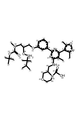 Cc1noc(C)c1-c1nc(-c2cccc(OCC(CN(C)C(=O)OC(C)(C)C)O[SiH2]C(C)(C)C(C)C)c2)nc(NCC2COCCN2C(=O)O)c1C